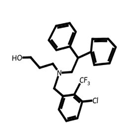 OCCCN(Cc1cccc(Cl)c1C(F)(F)F)CC(c1ccccc1)c1ccccc1